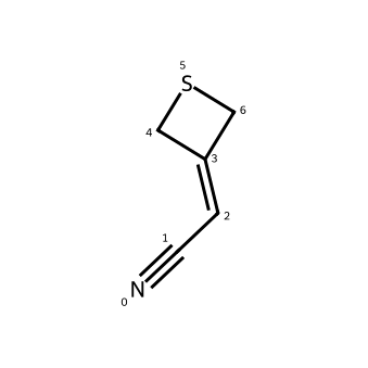 N#CC=C1CSC1